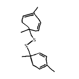 CC1=CCC(C)(SSC2(C)C=CC(C)=CC2)C=C1